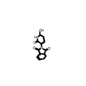 O=C1NC(O)CCC1N1C(=O)c2ccccc2C1=O